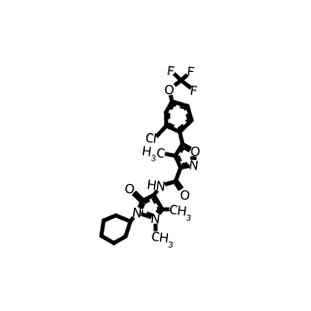 Cc1c(C(=O)Nc2c(C)n(C)n(C3CCCCC3)c2=O)noc1-c1ccc(OC(F)(F)F)cc1Cl